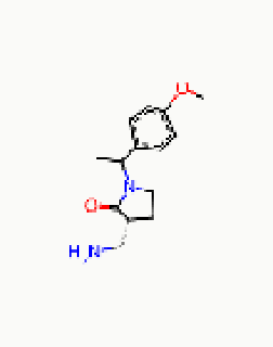 COc1ccc(C(C)N2CC[C@H](CN)C2=O)cc1